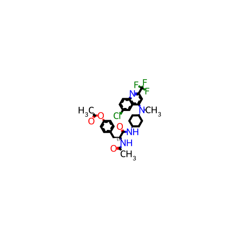 CC(=O)N[C@@H](Cc1ccc(OC(C)=O)cc1)C(=O)N[C@H]1CC[C@@H](N(C)c2cc(C(F)(F)F)nc3ccc(Cl)cc23)CC1